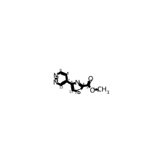 COC(=O)c1nc(-c2ccnnc2)cs1